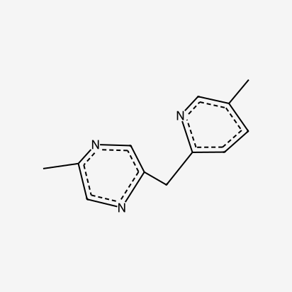 Cc1ccc(Cc2cnc(C)cn2)nc1